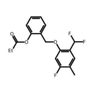 CCC(=O)Oc1ccccc1COc1cc(F)c(C)cc1C(F)F